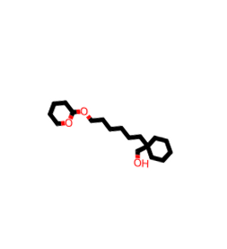 OCC1(CCCCCCOC2CCCCO2)CCCCC1